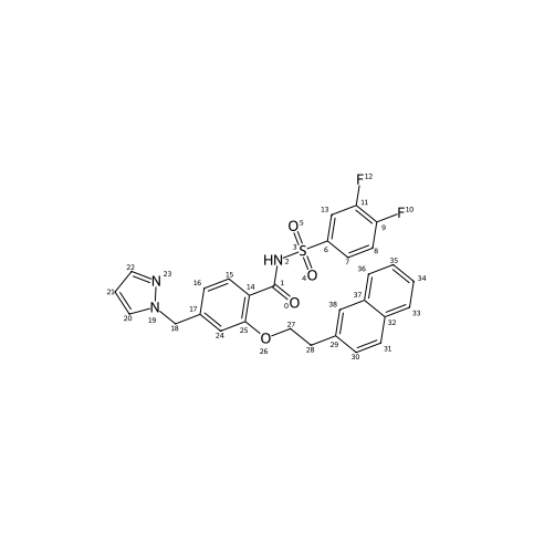 O=C(NS(=O)(=O)c1ccc(F)c(F)c1)c1ccc(Cn2cccn2)cc1OCCc1ccc2ccccc2c1